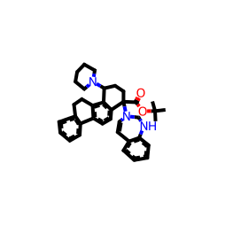 CC(C)(C)OC(=O)C1(N2C=Cc3ccccc3NC2)CCC(N2CCCCC2)c2c1ccc1c2CCc2ccccc2-1